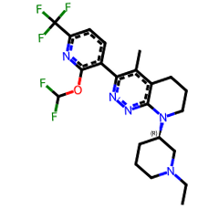 CCN1CCC[C@@H](N2CCCc3c2nnc(-c2ccc(C(F)(F)F)nc2OC(F)F)c3C)C1